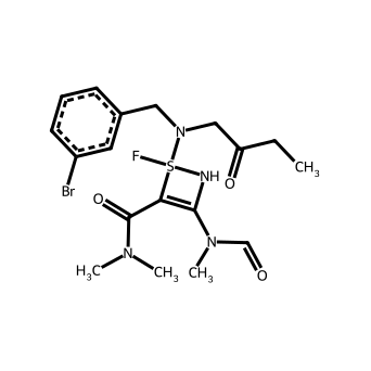 CCC(=O)CN(Cc1cccc(Br)c1)S1(F)NC(N(C)C=O)=C1C(=O)N(C)C